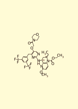 CCOC(=O)N1c2ccc(OC)nc2[C@@H](Nc2ncc(OCC(=O)N3CCOCC3)c(Cc3cc(C(F)(F)F)cc(C(F)(F)F)c3)n2)C[C@H]1CC